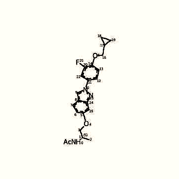 CC(=O)N[C@@H](C)COc1ccc2cn(-c3ccc(OCC4CC4)c(F)c3)nc2c1